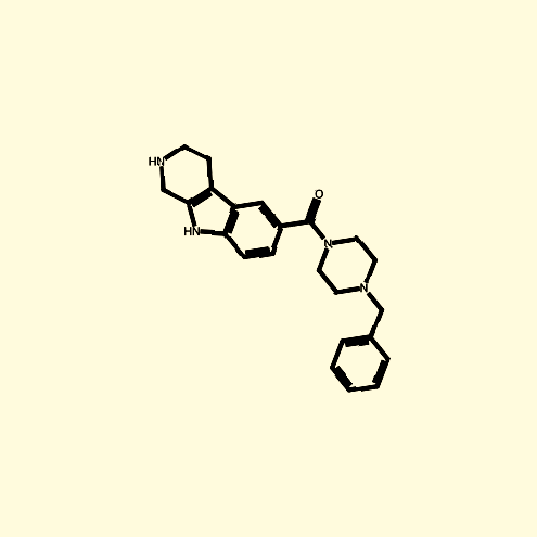 O=C(c1ccc2[nH]c3c(c2c1)CCNC3)N1CCN(Cc2ccccc2)CC1